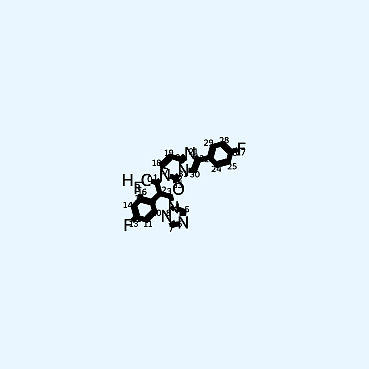 CC(C(Cn1cncn1)c1ccc(F)cc1F)n1ccc2nc(-c3ccc(F)cc3)cn2c1=O